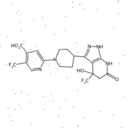 O=C1CC(O)(C(F)(F)F)c2c(C3CCN(c4cc(C(=O)O)c(C(F)(F)F)cn4)CC3)n[nH]c2N1